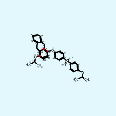 CC(C)Oc1ccc(S(=O)(=O)c2ccc(Oc3ccc(OC(C)C)c4c3C3c5ccccc5C4c4ccccc43)cc2)cc1